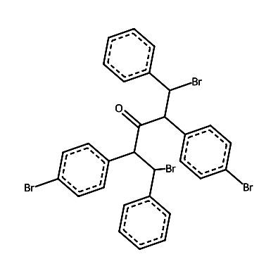 O=C(C(c1ccc(Br)cc1)C(Br)c1ccccc1)C(c1ccc(Br)cc1)C(Br)c1ccccc1